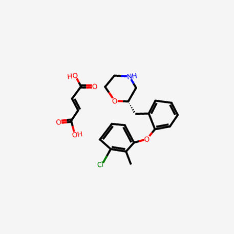 Cc1c(Cl)cccc1Oc1ccccc1C[C@H]1CNCCO1.O=C(O)C=CC(=O)O